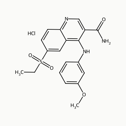 CCS(=O)(=O)c1ccc2ncc(C(N)=O)c(Nc3cccc(OC)c3)c2c1.Cl